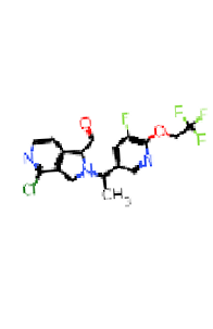 CC(c1cnc(OCC(F)(F)F)c(F)c1)N1Cc2c(ccnc2Cl)C1C=O